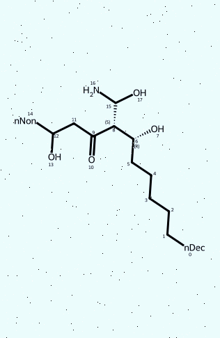 CCCCCCCCCCCCCCC[C@@H](O)[C@H](C(=O)CC(O)CCCCCCCCC)C(N)O